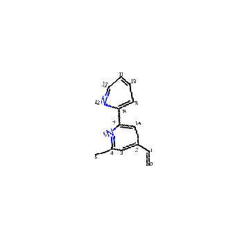 C=Cc1cc(C)nc(-c2ccccn2)c1